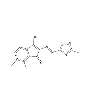 Cc1nsc(N=NC2=C(O)c3ccc(C)c(C)c3C2=O)n1